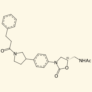 CC(=O)NC[C@H]1CN(c2ccc(C3CCN(C(=O)CCc4ccccc4)C3)cc2)C(=O)O1